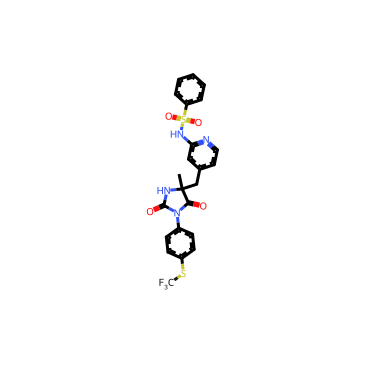 CC1(Cc2ccnc(NS(=O)(=O)c3ccccc3)c2)NC(=O)N(c2ccc(SC(F)(F)F)cc2)C1=O